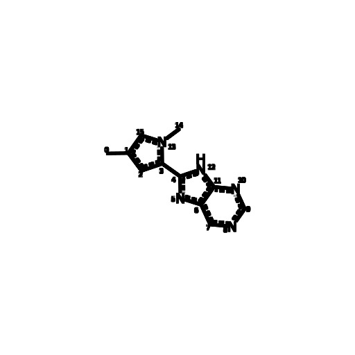 Cc1cc(-c2nc3cncnc3[nH]2)n(C)c1